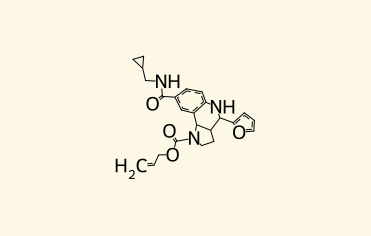 C=CCOC(=O)N1CCC2C(c3ccco3)Nc3ccc(C(=O)NCC4CC4)cc3C21